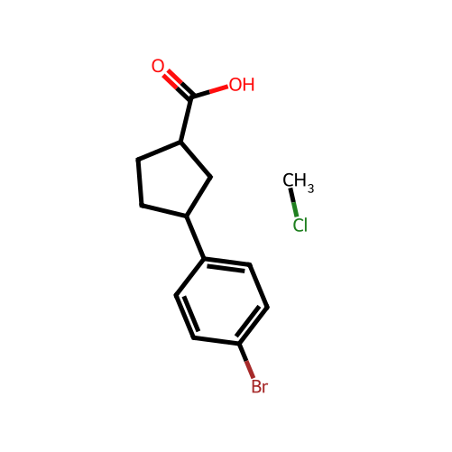 CCl.O=C(O)C1CCC(c2ccc(Br)cc2)C1